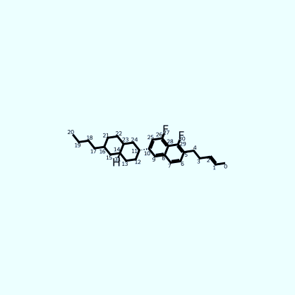 C/C=C/CCc1ccc2cc([C@@H]3CC[C@@H]4CC(CCCC)CCC4C3)cc(F)c2c1F